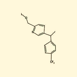 CC(c1ccc(C(F)(F)F)cc1)c1ccc(COI)nc1